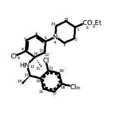 CCOC(=O)C1CCN(C2=CC=C(Cl)[C@](C)(N[C@H](C)c3ccc(Cl)cc3Cl)C2)CC1